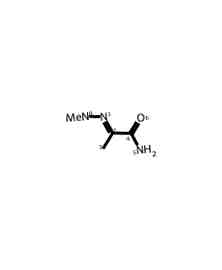 CN/N=C(\C)C(N)=O